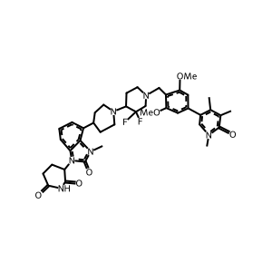 COc1cc(-c2cn(C)c(=O)c(C)c2C)cc(OC)c1CN1CCC(N2CCC(c3cccc4c3n(C)c(=O)n4C3CCC(=O)NC3=O)CC2)C(F)(F)C1